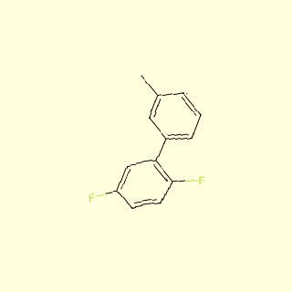 Cc1[c]ccc(-c2cc(F)ccc2F)c1